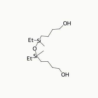 CC[Si](C)(CCCCO)O[Si](C)(CC)CCCCO